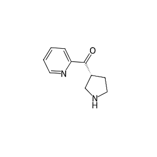 O=C(c1ccccn1)[C@@H]1CCNC1